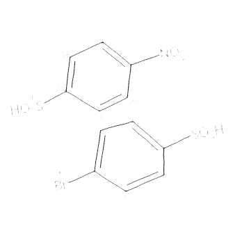 O=S(=O)(O)c1ccc(Br)cc1.O=[N+]([O-])c1ccc(S(=O)(=O)O)cc1